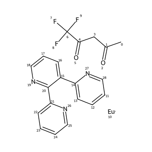 CC(=O)CC(=O)C(F)(F)F.[Eu].c1ccc(-c2cccnc2-c2ccccn2)nc1